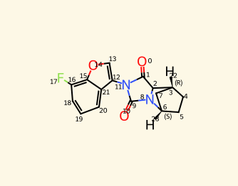 O=C1C2[C@@H]3CC[C@@H](C3)N2C(=O)N1c1coc2c(F)cccc12